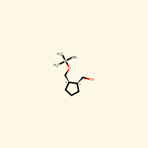 CC(C)(C)[Si](C)(C)OC[C@@H]1CCC[C@@H]1CO